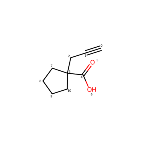 C#CCC1(C(=O)O)CCCC1